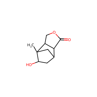 CC12CC(CC1O)C1C(=O)OCC12